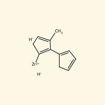 CC1=CC[C]([Zr+2])=C1C1=CC=CC1.[H-].[H-]